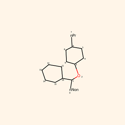 CCCCCCCCCC(OC1CCC(CCC)CC1)C1CCCCC1